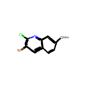 COc1ccc2cc(Br)c(Cl)nc2c1